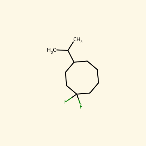 CC(C)C1CCCCC(F)(F)CC1